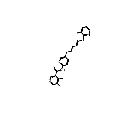 Cc1c(F)cncc1C(=O)Nc1ccc(CCC/C=N/Oc2ncccc2F)cn1